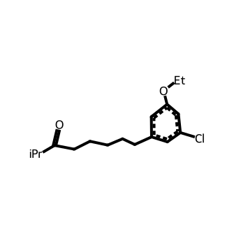 CCOc1cc(Cl)cc(CCCCCC(=O)C(C)C)c1